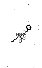 CCCCC[C@H](NC(=O)OCc1ccccc1)C(=O)OC